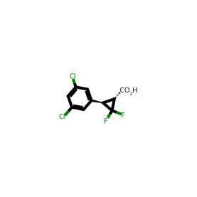 O=C(O)[C@H]1[C@H](c2cc(Cl)cc(Cl)c2)C1(F)F